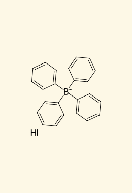 I.c1ccc([B-](c2ccccc2)(c2ccccc2)c2ccccc2)cc1